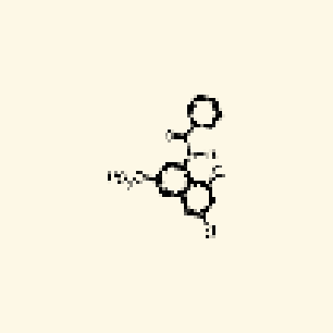 CCN(C(=O)c1ccccc1)c1cc(C(=O)O)cc2cc(Cl)cc(Cl)c12